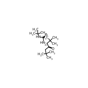 CC(C)(C)CC(=O)[C@H](NC(=O)NC(C)(C)C)C(C)(C)C